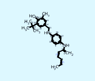 C=C(/C=C\C=C/C)Nc1ccc(NCc2cc(C)c(O)c(C(C)(C)C)c2)cc1